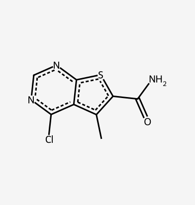 Cc1c(C(N)=O)sc2ncnc(Cl)c12